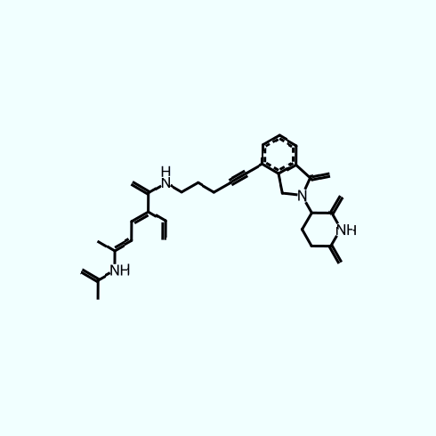 C=C/C(=C\C=C(/C)NC(=C)C)C(=C)NCCCC#Cc1cccc2c1CN(C1CCC(=C)NC1=C)C2=C